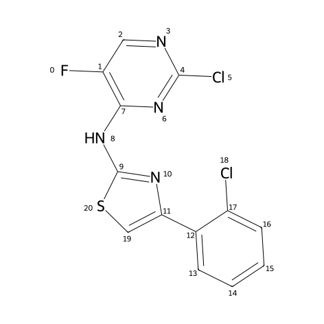 Fc1cnc(Cl)nc1Nc1nc(-c2ccccc2Cl)cs1